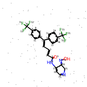 O=C(C=CC=C(c1ccc(C(F)(F)F)cc1)c1ccc(C(F)(F)F)cc1)NC1=CC=NCC1=NO